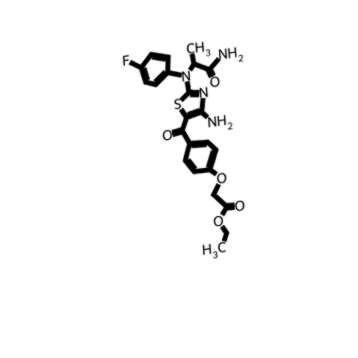 CCOC(=O)COc1ccc(C(=O)c2sc(N(c3ccc(F)cc3)C(C)C(N)=O)nc2N)cc1